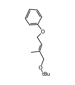 C/C(=C\COc1ccccc1)COC(C)(C)C